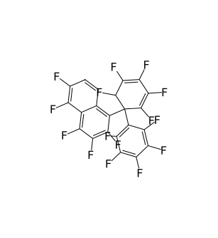 FC1=C(F)C(F)C(c2c(F)c(F)c(F)c(F)c2F)(c2c(F)c(F)c(F)c3c(F)c(F)ccc23)C(F)=C1F